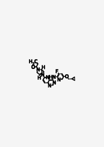 C=CC(=O)N1C[C@@H]2C[C@H]1CN2c1ccc2ncnc(Nc3ncc(OCC4CC4)cc3F)c2n1